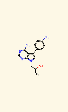 CC(O)Cn1cc(-c2ccc(N)cc2)c2c(N)ncnc21